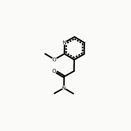 COc1nc[c]cc1CC(=O)N(C)C